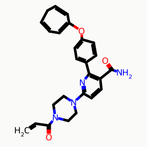 C=CC(=O)N1CCN(c2ccc(C(N)=O)c(-c3ccc(OC4=CC=CCC=C4)cc3)n2)CC1